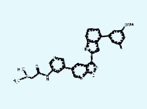 COc1cc(F)cc(-c2cccc3[nH]c(-c4n[nH]c5ncc(-c6cncc(NC(=O)CN(C)C)c6)cc45)cc23)c1